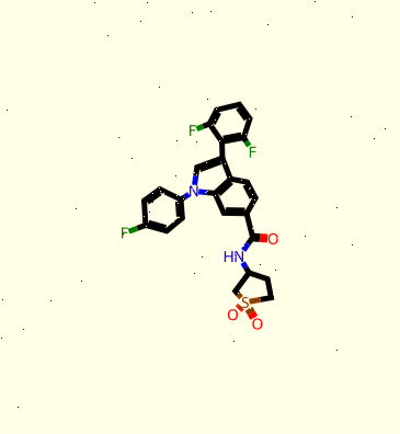 O=C(NC1CCS(=O)(=O)C1)c1ccc2c(-c3c(F)cccc3F)cn(-c3ccc(F)cc3)c2c1